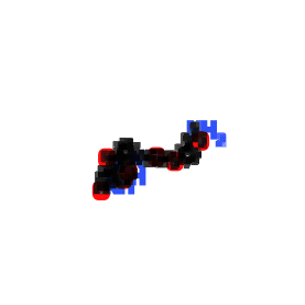 NC(=O)Cc1cccc(OCCOCCNc2cccc3c2C(=O)N(C2CCC(=O)NC2=O)C3=O)c1